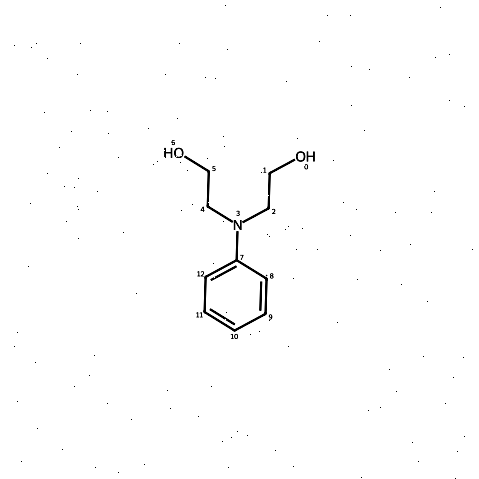 OCCN(CCO)c1[c]cccc1